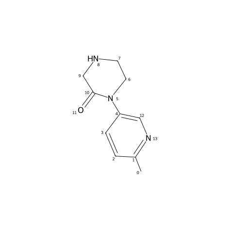 Cc1ccc(N2CCNCC2=O)cn1